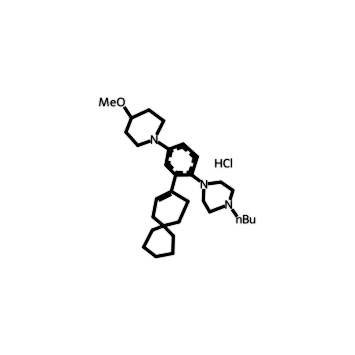 CCCCN1CCN(c2ccc(N3CCC(OC)CC3)cc2C2=CCC3(CCCCC3)CC2)CC1.Cl